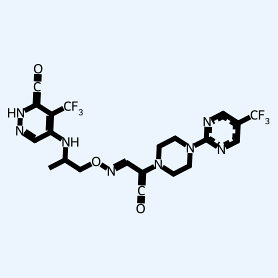 CC(CON=CC(=C=O)N1CCN(c2ncc(C(F)(F)F)cn2)CC1)NC1=C(C(F)(F)F)C(=C=O)NN=C1